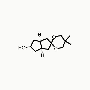 CC1(C)COC2(C[C@H]3C[C@@H](O)C[C@H]3C2)OC1